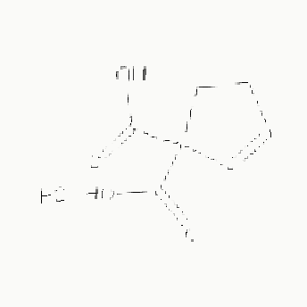 Cl.O=C(O)C1(C(=O)O)C=CCC1